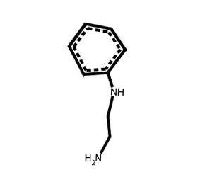 NCCNc1[c]cccc1